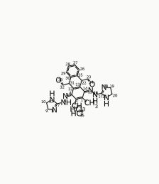 CC1=C(C)C(=NNC2=NCCN2)C2=C(C1=NNC1=NCCN1)C(C=O)c1ccccc1C2C=O.Cl.Cl